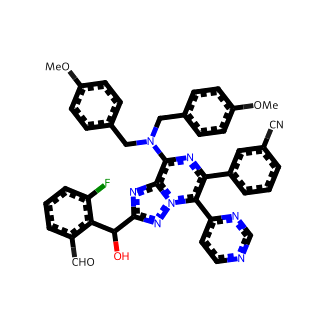 COc1ccc(CN(Cc2ccc(OC)cc2)c2nc(-c3cccc(C#N)c3)c(-c3ccncn3)n3nc(C(O)c4c(F)cccc4C=O)nc23)cc1